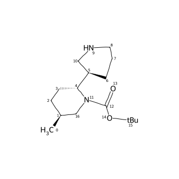 C[C@H]1CC[C@H]([C@@H]2CCCNC2)N(C(=O)OC(C)(C)C)C1